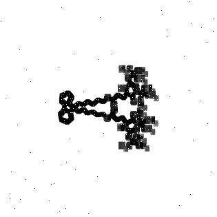 CC(C)(C)OC(=O)NC(CCC(=O)OCCCCCCC1(CCCCCCOC(=O)CCC(NC(=O)OC(C)(C)C)C(=O)OC(C)(C)C)c2ccccc2-c2ccccc21)C(=O)OC(C)(C)C